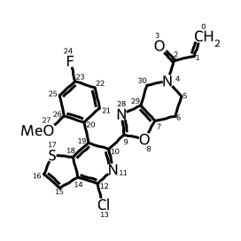 C=CC(=O)N1CCc2oc(-c3nc(Cl)c4ccsc4c3-c3ccc(F)cc3OC)nc2C1